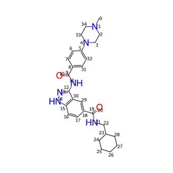 CN1CCN(c2ccc(C(=O)Nc3n[nH]c4ccc(C(=O)NCC5CCCCC5)cc34)cc2)CC1